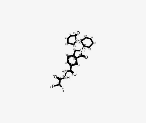 O=C(NNC(=O)C(F)F)c1ccc2c(c1)C(=O)N([C@@H]1CCCC[C@H]1N1CCCCC1=O)C2